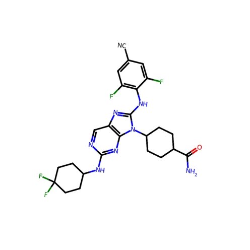 N#Cc1cc(F)c(Nc2nc3cnc(NC4CCC(F)(F)CC4)nc3n2C2CCC(C(N)=O)CC2)c(F)c1